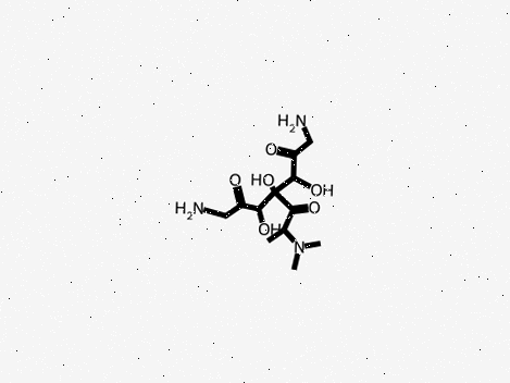 CC(C(=O)C(O)(C(O)C(=O)CN)C(O)C(=O)CN)N(C)C